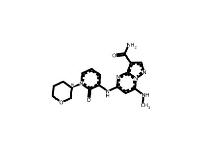 CNc1cc(Nc2cccn([C@@H]3CCCOC3)c2=O)nc2c(C(N)=O)cnn12